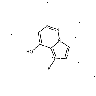 Oc1ccnn2ccc(F)c12